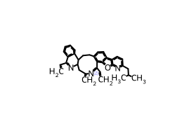 C=CC1=NC2CC(=C)/N=C(/C=C)c3c(ccc4c3oc3nc(CC(C)C)ccc34)CCC2c2ccccc21